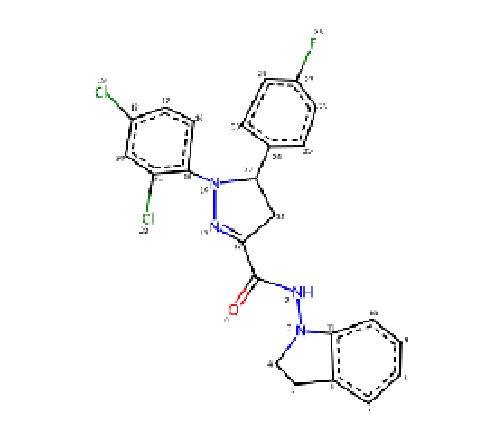 O=C(NN1CCc2ccccc21)C1=NN(c2ccc(Cl)cc2Cl)C(c2ccc(F)cc2)C1